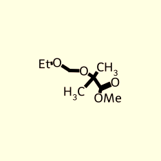 CCOCOC(C)(C)C(=O)OC